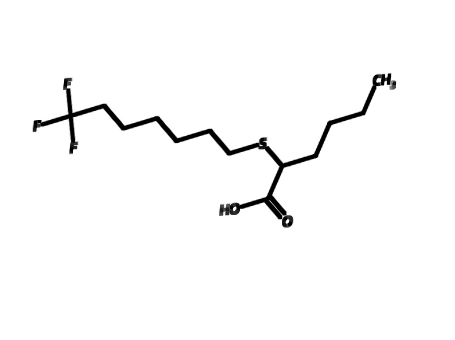 CCCCC(SCCCCCCC(F)(F)F)C(=O)O